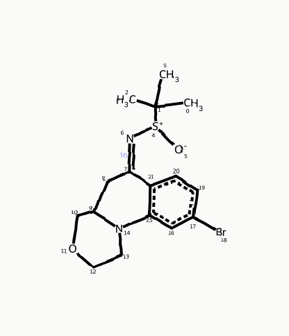 CC(C)(C)[S+]([O-])/N=C1/CC2COCCN2c2cc(Br)ccc21